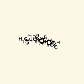 CC(=O)NC[C@H]1CN(c2ccc(N3CCC4(CC3)CNC(=O)O4)c(F)c2)C(=O)O1